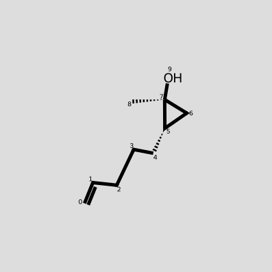 C=CCCC[C@H]1C[C@]1(C)O